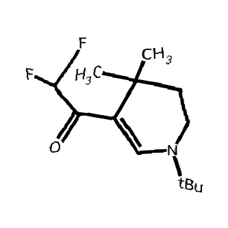 CC1(C)CCN(C(C)(C)C)C=C1C(=O)C(F)F